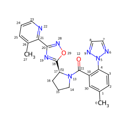 Cc1ccc(-n2nccn2)c(C(=O)N2CCC[C@H]2c2nc(-c3ncccc3C)no2)c1